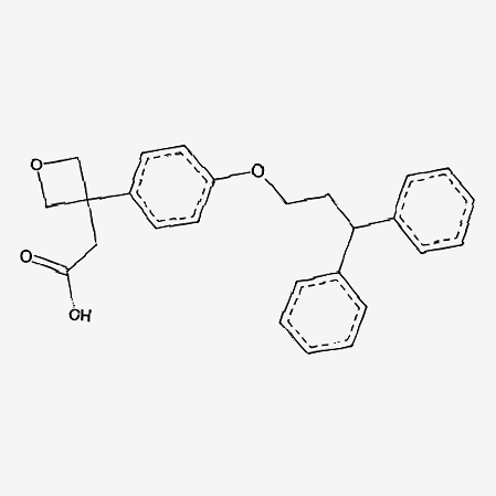 O=C(O)CC1(c2ccc(OCCC(c3ccccc3)c3ccccc3)cc2)COC1